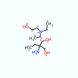 CCC(N)(CO)CO.CCN(CC)CCO